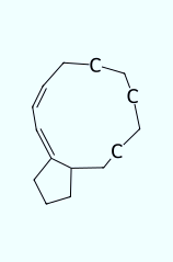 C1=CCCCCCCCC2CCCC2=C1